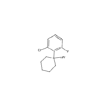 CCCC1(c2c(F)cccc2Cl)CCCCC1